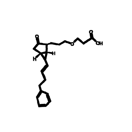 O=C(O)CCOCCC[C@@H]1C(=O)C[C@H]2C(C=CCCc3ccccc3)[C@@H]12